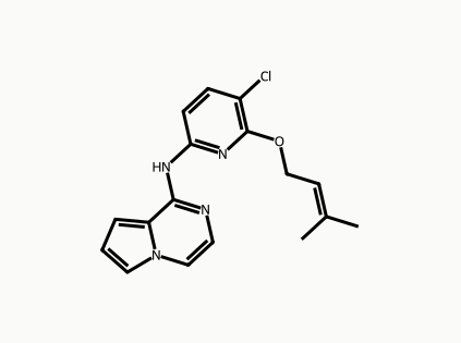 CC(C)=CCOc1nc(Nc2nccn3cccc23)ccc1Cl